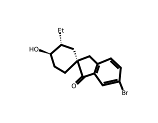 CC[C@@H]1C[C@]2(CC[C@H]1O)Cc1ccc(Br)cc1C2=O